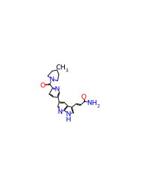 CC1CCN(C(=O)c2ccc(-c3cnc4[nH]cc(C=CC(N)=O)c4c3)cn2)CC1